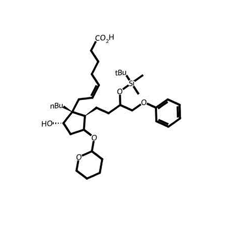 CCCC[C@]1(C/C=C\CCCC(=O)O)[C@@H](O)CC(OC2CCCCO2)[C@@H]1CCC(COc1ccccc1)O[Si](C)(C)C(C)(C)C